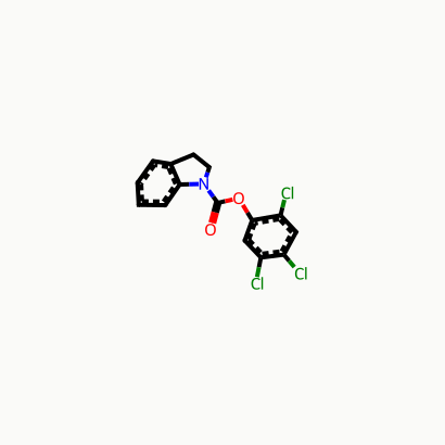 O=C(Oc1cc(Cl)c(Cl)cc1Cl)N1CCc2ccccc21